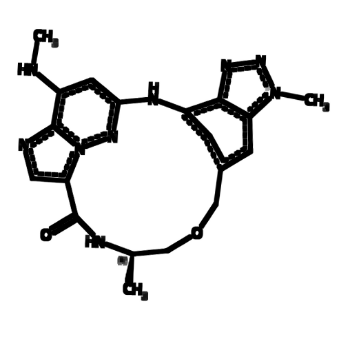 CNc1cc2nn3c(cnc13)C(=O)N[C@H](C)COCc1cc(c3nnn(C)c3c1)N2